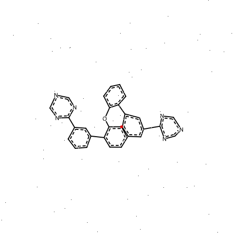 c1cc(-c2ncncn2)cc(-c2ccccc2Oc2ccccc2-c2cccc(-c3ncncn3)c2)c1